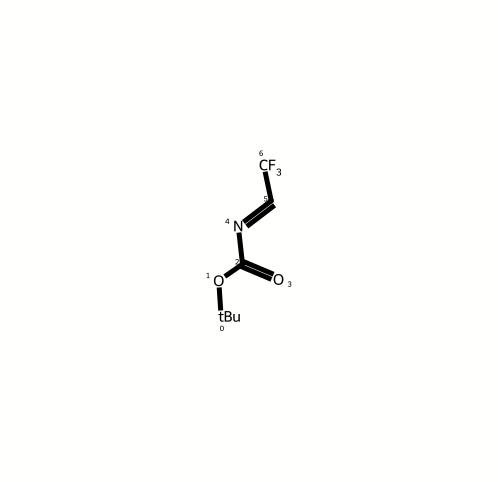 CC(C)(C)OC(=O)/N=C/C(F)(F)F